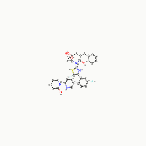 O=C(O)CC(Cc1ccccc1)C(=O)N(c1nc(-c2cc(F)ccc2-c2ccc(N3CCCCC3=O)nc2)c(F)s1)C1CC1